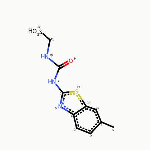 Cc1ccc2nc(NC(=O)NCS(=O)(=O)O)sc2c1